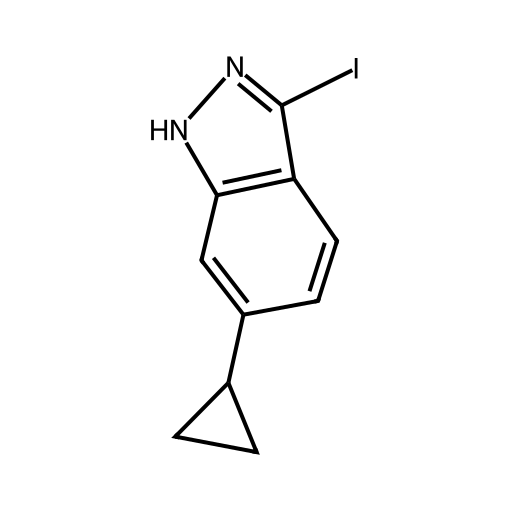 Ic1n[nH]c2cc(C3CC3)ccc12